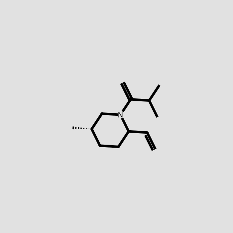 C=CC1CC[C@H](C)CN1C(=C)C(C)C